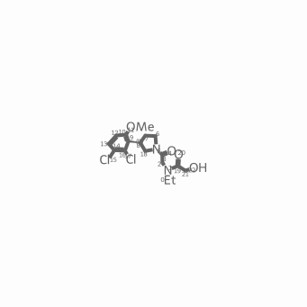 CCN(CC(=O)N1CC[C@H](c2c(OC)ccc(Cl)c2Cl)C1)C(=O)CO